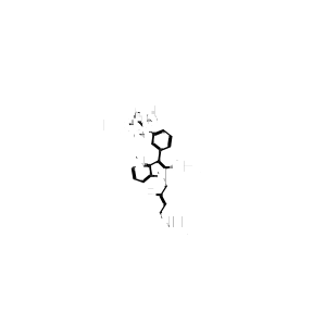 Cc1c(-c2cccc(S(=O)(=O)N(C)C)c2)c2ncccc2n1CC(F)=CCN